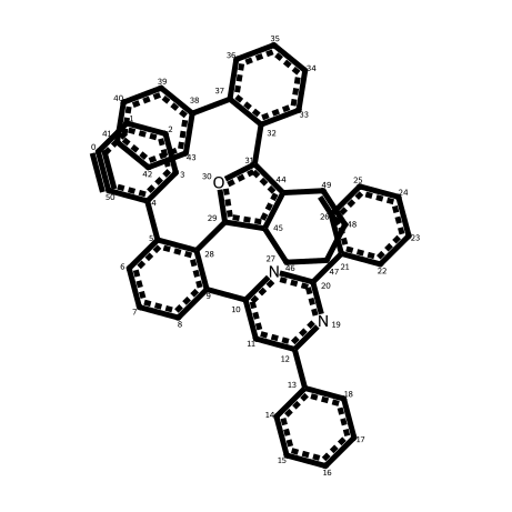 c1cccc(-c2cccc(-c3cc(-c4ccccc4)nc(-c4ccccc4)n3)c2-c2oc(-c3ccccc3-c3ccccc3)c3c2CCC=C3)c#1